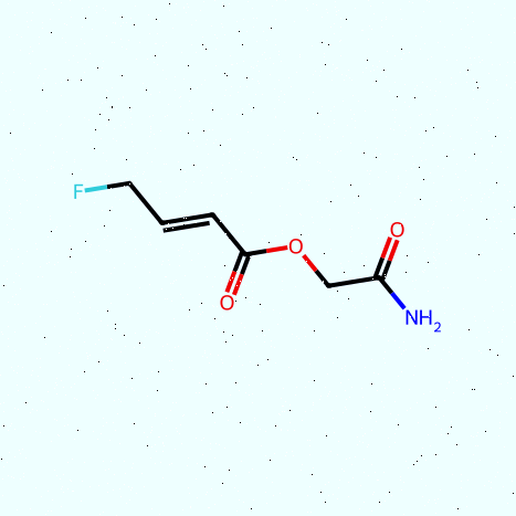 NC(=O)COC(=O)C=CCF